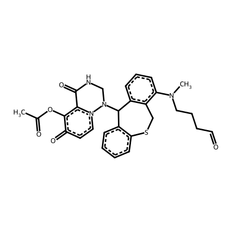 CC(=O)Oc1c2n(ccc1=O)N(C1c3ccccc3SCc3c1cccc3N(C)CCCC=O)CNC2=O